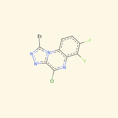 CCc1nnc2c(Cl)nc3c(F)c(F)ccc3n12